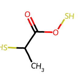 CC(S)C(=O)OS